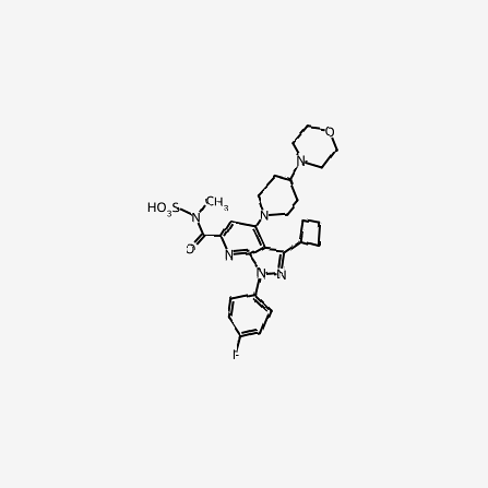 CN(C(=O)c1cc(N2CCC(N3CCOCC3)CC2)c2c(C3CCC3)nn(-c3ccc(F)cc3)c2n1)S(=O)(=O)O